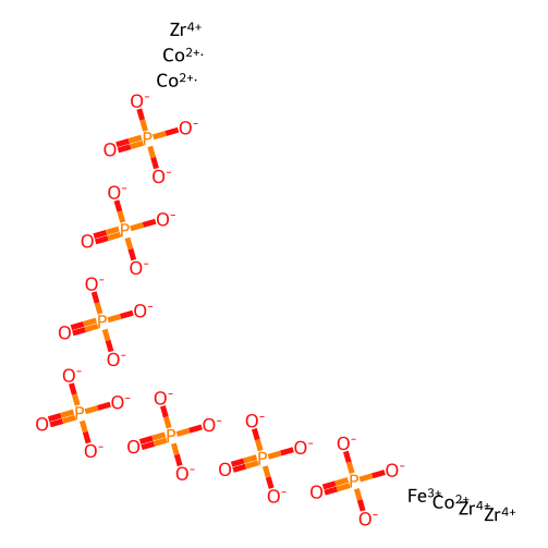 O=P([O-])([O-])[O-].O=P([O-])([O-])[O-].O=P([O-])([O-])[O-].O=P([O-])([O-])[O-].O=P([O-])([O-])[O-].O=P([O-])([O-])[O-].O=P([O-])([O-])[O-].[Co+2].[Co+2].[Co+2].[Fe+3].[Zr+4].[Zr+4].[Zr+4]